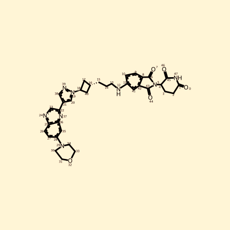 O=C1CCC(N2C(=O)c3ccc(NCCC[C@H]4C[C@H](n5cc(-c6cnc7ccc(N8CCOCC8)cc7n6)cn5)C4)cc3C2=O)C(=O)N1